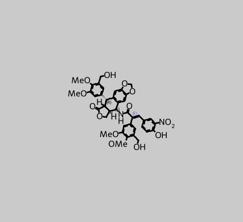 COc1cc(/C(=C\c2ccc(O)c([N+](=O)[O-])c2)C(=O)N[C@@H]2c3cc4c(cc3[C@@H](c3cc(CO)c(OC)c(OC)c3)[C@H]3C(=O)OC[C@@H]32)OCO4)cc(CO)c1OC